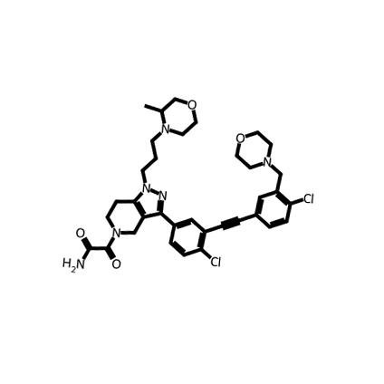 CC1COCCN1CCCn1nc(-c2ccc(Cl)c(C#Cc3ccc(Cl)c(CN4CCOCC4)c3)c2)c2c1CCN(C(=O)C(N)=O)C2